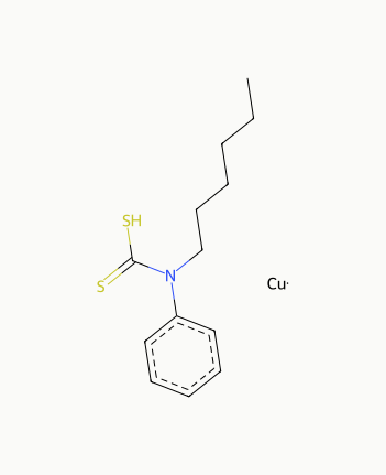 CCCCCCN(C(=S)S)c1ccccc1.[Cu]